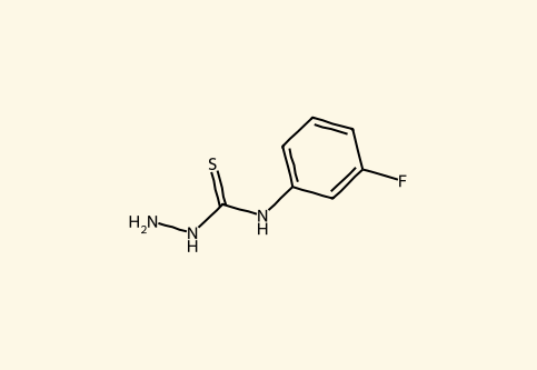 NNC(=S)Nc1cccc(F)c1